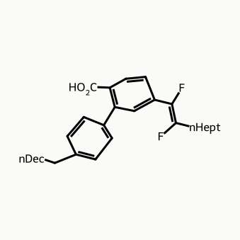 CCCCCCCCCCCc1ccc(-c2cc(C(F)=C(F)CCCCCCC)ccc2C(=O)O)cc1